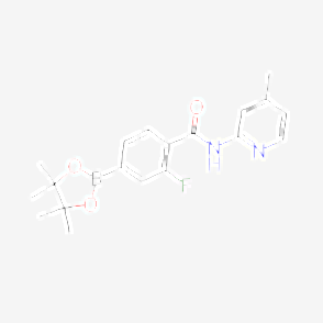 Cc1ccnc(NC(=O)c2ccc(B3OC(C)(C)C(C)(C)O3)cc2F)c1